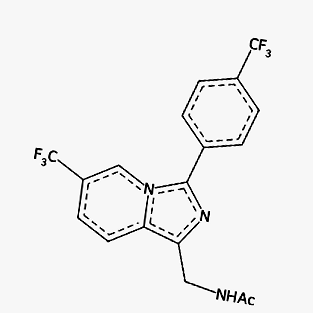 CC(=O)NCc1nc(-c2ccc(C(F)(F)F)cc2)n2cc(C(F)(F)F)ccc12